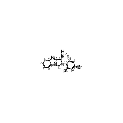 N[C@@H]1c2nc3ccccc3n2C[C@H]1c1c(F)cc(Br)cc1F